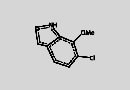 COc1c(Cl)ccc2cc[nH]c12